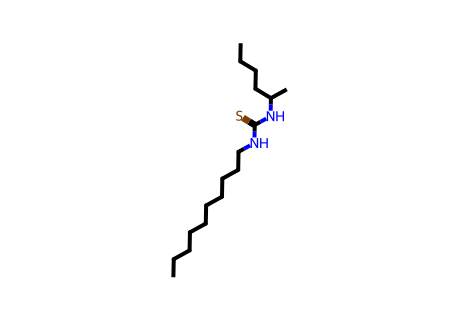 CCCCCCCCCCNC(=S)NC(C)CCCC